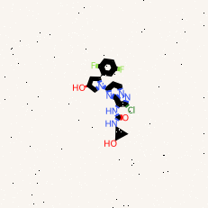 O=C(Nc1c(Cl)nn2ccc(N3C[C@@H](O)C[C@@H]3c3cc(F)ccc3F)nc12)N[C@@H]1C[C@H]1O